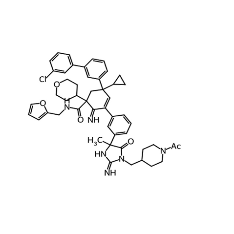 CC(=O)N1CCC(CN2C(=N)NC(C)(c3cccc(C4=CC(c5cccc(-c6cccc(Cl)c6)c5)(C5CC5)CC(C(=O)NCc5ccco5)(C5CCOCC5)C4=N)c3)C2=O)CC1